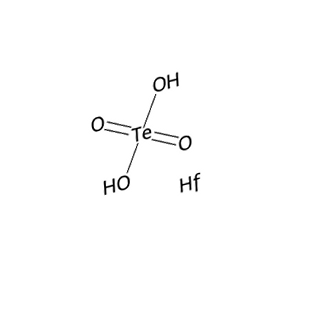 O=[Te](=O)(O)O.[Hf]